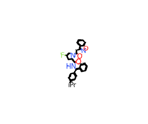 CC(C)c1ccc(C(NC(=O)C2CC(F)CN2C(=O)Cc2noc3ccccc23)c2ccccc2)cc1